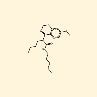 CCCCCNC(=O)C(CCCC)C1=NCCc2cc(SC)ccc21